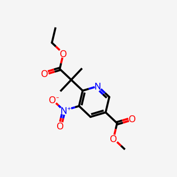 CCOC(=O)C(C)(C)c1ncc(C(=O)OC)cc1[N+](=O)[O-]